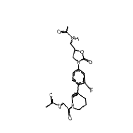 CC(=O)NCC1CN(c2ccc(C3=CN(C(=O)COC(C)=O)CCC3)c(F)c2)C(=O)O1